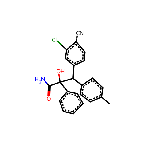 Cc1ccc(C(c2ccc(C#N)c(Cl)c2)C(O)(C(N)=O)c2ccccc2)cc1